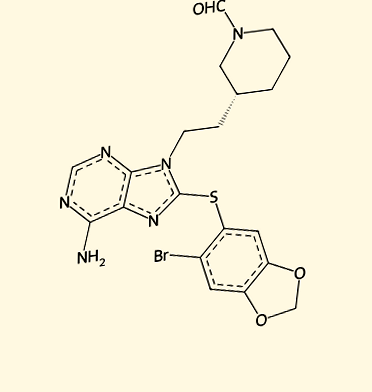 Nc1ncnc2c1nc(Sc1cc3c(cc1Br)OCO3)n2CC[C@H]1CCCN(C=O)C1